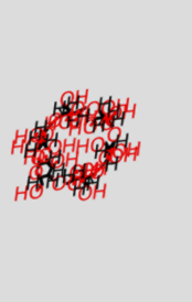 OC[C@H]1OC2O[C@H]3[C@H](O)[C@@H](O)C(O[C@H]4[C@H](O)[C@@H](O)C(O[C@H]5[C@H](O)[C@@H](O)C(O[C@H]6[C@H](O)[C@@H](O)C(O[C@@H]6CO)O[C@H]6C(O)[C@@H](O)C(O[C@H]1[C@H](O)[C@H]2O)O[C@@H]6CO)O[C@@H]5CO)O[C@@H]4CO)O[C@@H]3CO